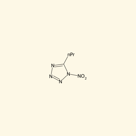 CCCc1nnnn1[N+](=O)[O-]